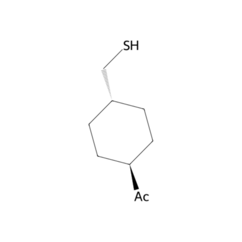 CC(=O)[C@H]1CC[C@H](CS)CC1